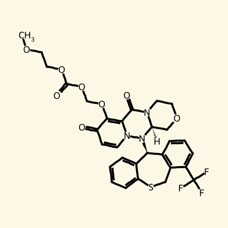 COCCOC(=O)OCOc1c2n(ccc1=O)N([C@@H]1c3ccccc3SCc3c1cccc3C(F)(F)F)[C@@H]1COCCN1C2=O